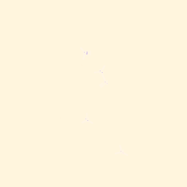 CNC(=O)c1c2cc(C3CC3)c(N(CCC3CN(C)C3)S(C)(=O)=O)cc2nn1-c1ccc(Cl)cc1